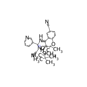 CC1(C)Oc2ccc(C#N)cc2[C@H](N/C(=N/C#N)c2cccnc2)[C@H]1O[Si](C)(C)C(C)(C)C